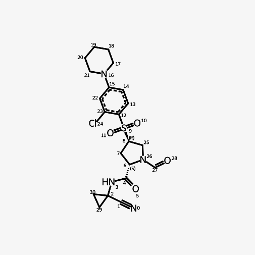 N#CC1(NC(=O)[C@@H]2C[C@@H](S(=O)(=O)c3ccc(N4CCCCC4)cc3Cl)CN2C=O)CC1